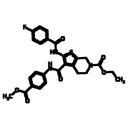 CCOC(=O)N1CCc2c(sc(NC(=O)c3ccc(F)cc3)c2C(=O)Nc2ccc(C(=O)OC)cc2)C1